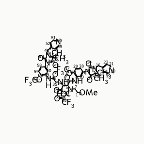 COCCN(C)C(C(=O)Nc1cc(N2C(=O)N(Cc3ccncc3)C(C)(C)C2=O)ccc1OC(F)(F)F)C(NCC(=O)Nc1cc(N2C(=O)N(Cc3ccncc3)C(C)(C)C2=O)ccc1OC(F)(F)F)C(=O)OC(=O)C(F)(F)F